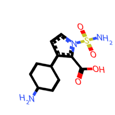 NC1CCC(c2ccn(S(N)(=O)=O)c2C(=O)O)CC1